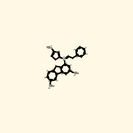 CC(C)(C)C1=CC[C](/[Zr](=[CH]/Cc2ccccc2)[c]2cc(C(C)(C)C)cc3c2Cc2ccc(C(C)(C)C)cc2-3)=C1